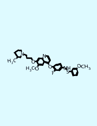 COc1cccc(SNc2ccc(Oc3ccnc4cc(OCCCN5CCCC(C)C5)c(OC)cc34)c(F)c2)c1